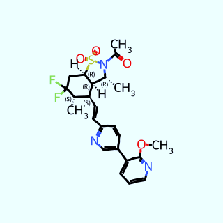 COc1ncccc1-c1ccc(C=C[C@@H]2[C@@H]3[C@@H](C)N(C(C)=O)S(=O)(=O)[C@@H]3CC(F)(F)[C@H]2C)nc1